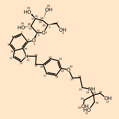 OC[C@H]1O[C@@H](Oc2cccc3ccn(CCc4ccc(OCCCNC(CO)(CO)CO)cc4)c23)[C@H](O)[C@@H](O)[C@@H]1O